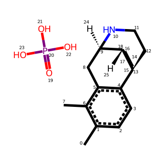 Cc1ccc2c(c1C)C[C@H]1NCC[C@@]23CCCC[C@@H]13.O=P(O)(O)O